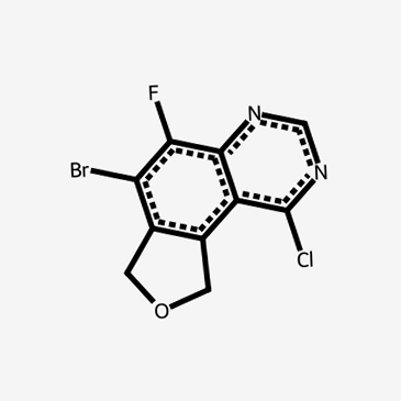 Fc1c(Br)c2c(c3c(Cl)ncnc13)COC2